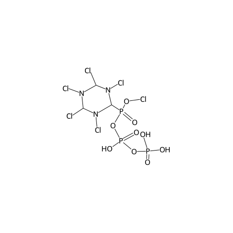 O=P(O)(O)OP(=O)(O)OP(=O)(OCl)C1N(Cl)C(Cl)N(Cl)C(Cl)N1Cl